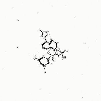 Cc1nc(-c2cccc3c(N(CP(=O)(O)O)S(=O)(=O)c4cc(Cl)cc(Cl)c4)cccc23)no1